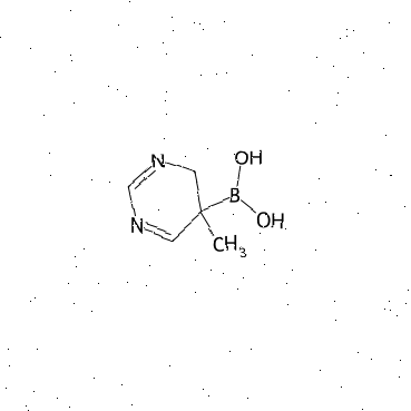 CC1(B(O)O)C=NC=NC1